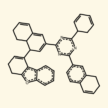 C1=CCC(c2nc(C3=CC(C4=CCCc5oc6ccccc6c54)C4CCC=CC4=C3)nc(-c3ccc4c(c3)CCC=C4)n2)C=C1